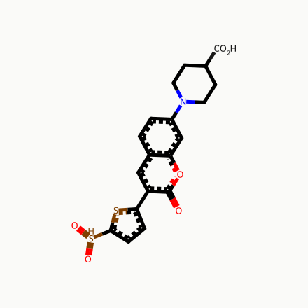 O=C(O)C1CCN(c2ccc3cc(-c4ccc([SH](=O)=O)s4)c(=O)oc3c2)CC1